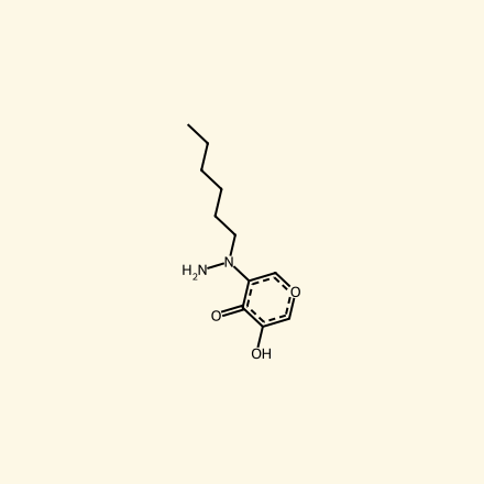 CCCCCCN(N)c1cocc(O)c1=O